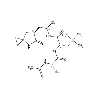 CC(C)(C)[C@H](NC(=O)C(F)(F)F)C(=O)N[C@@H](C[Si](C)(C)C)C(=O)N[C@H](C#N)C[C@@H]1CC2(CC2)NC1=O